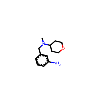 CN(Cc1cccc(N)c1)C1CCOCC1